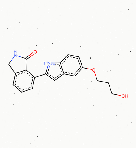 O=C1NCc2cccc(-c3cc4cc(OCCCO)ccc4[nH]3)c21